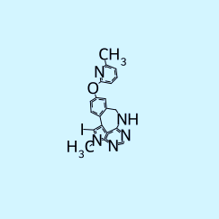 Cc1cccc(Oc2ccc3c(c2)CNc2ncnc4c2c-3c(I)n4C)n1